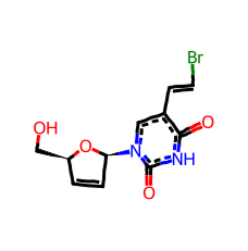 O=c1[nH]c(=O)n([C@H]2C=C[C@@H](CO)O2)cc1C=CBr